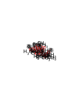 CCC1O[C@H](OCC2O[C@@H](O[C@@H]3C(COCc4ccccc4)O[C@@H](OCc4ccccc4)C(C)[C@H]3C)C(OCc3ccccc3)[C@@H](O[C@@H]3OC(CC)[C@H](C)[C@@H](C)C3O[C@@H]3OC(CC)[C@@H](O[C@@H]4OC(COCc5ccccc5)[C@H](C)[C@H](C)C4OC(C)=O)[C@H](C)C3C)[C@@H]2O)C(O)[C@@H](C)[C@@H]1C